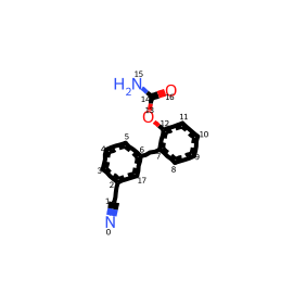 N#Cc1cccc(-c2ccccc2OC(N)=O)c1